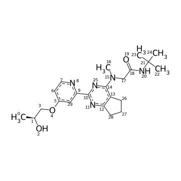 C[C@H](O)COc1ccnc(-c2nc3c(c(N(C)CC(=O)NC(C)(C)C)n2)CCC3)c1